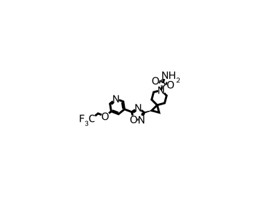 NS(=O)(=O)N1CCC2(CC1)C[C@H]2c1noc(-c2cncc(OCC(F)(F)F)c2)n1